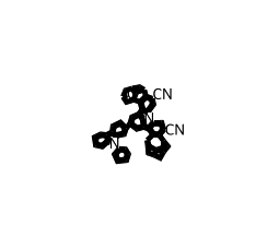 N#Cc1cc2c(c3c1C1CC4CC(C1)CC3C4)c1cc(-c3ccc4c5ccccc5n(-c5ccccc5)c4c3)cc3c4c5c(c(C#N)cc4n2c13)C1CC2CC3CC5CC23C1